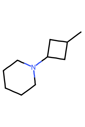 CC1CC(N2CCCCC2)C1